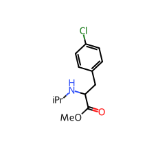 COC(=O)C(Cc1ccc(Cl)cc1)NC(C)C